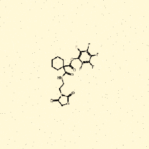 O=C1CSC(=O)N1CCNC(=O)C1(C(=O)Oc2c(F)c(F)c(F)c(F)c2F)CCCCC1